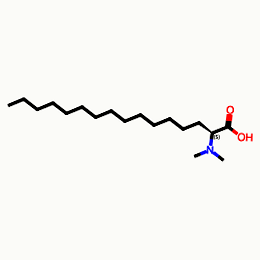 CCCCCCCCCCCCCC[C@@H](C(=O)O)N(C)C